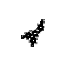 [C-]#[N+]c1ccc(CN2C[C@@H](C)N(c3ccc(Cl)cc3)[C@H](c3ccc(Cl)cc3)C2)cc1